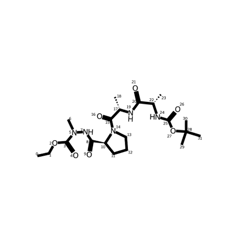 CCOC(=O)N(C)NC(=O)[C@@H]1CCCN1C(=O)[C@H](C)NC(=O)[C@H](C)NC(=O)OC(C)(C)C